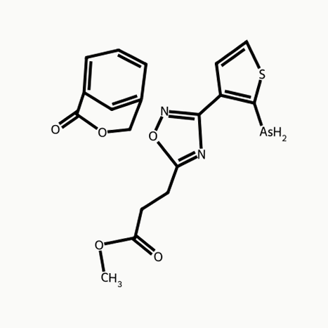 COC(=O)CCc1nc(-c2ccsc2[AsH2])no1.O=C1OCc2cccc1c2